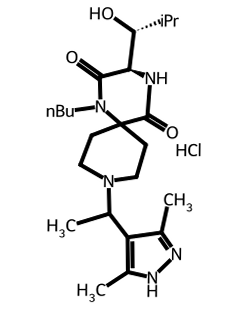 CCCCN1C(=O)[C@@H]([C@H](O)C(C)C)NC(=O)C12CCN(C(C)c1c(C)n[nH]c1C)CC2.Cl